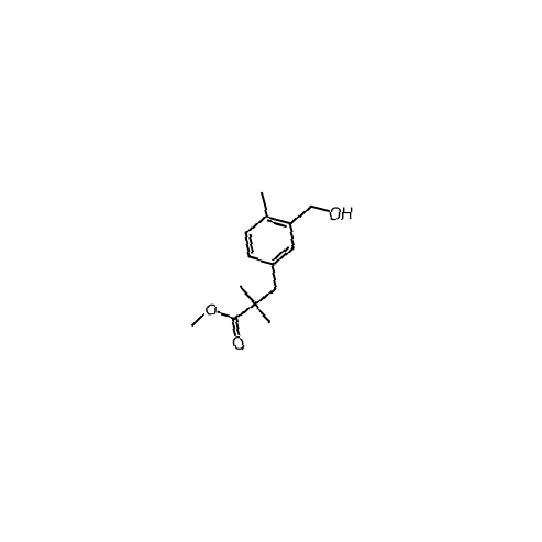 COC(=O)C(C)(C)Cc1ccc(C)c(CO)c1